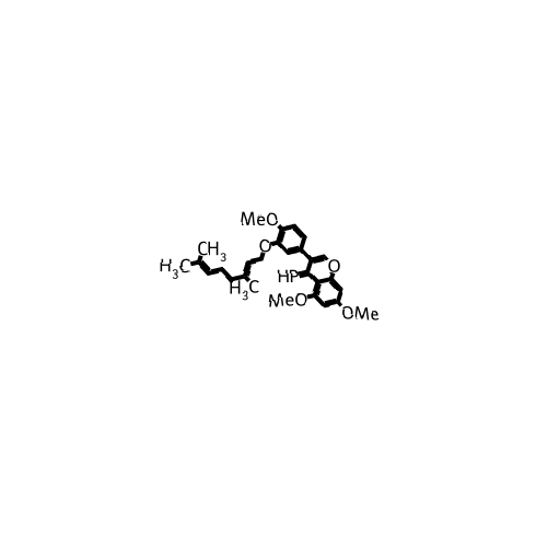 COc1cc(OC)c2c(=P)c(-c3ccc(OC)c(OC/C=C(\C)CCC=C(C)C)c3)coc2c1